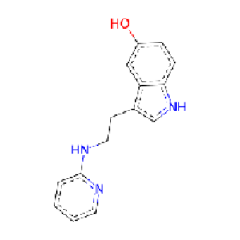 Oc1ccc2[nH]cc(CCNc3ccccn3)c2c1